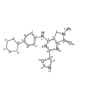 CC(C)N1Cc2c(Nc3ccc(C4CCCCC4)cc3)nc(-c3cnco3)nc2C1=O